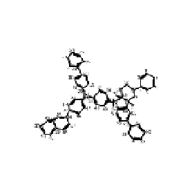 CC12CC(c3ccccc3)CCC1(C)N(c1ccc(N(c3ccc(-c4ccccc4)cc3)c3ccc(-c4ccc5ccccc5c4)cc3)cc1)c1ccc(-c3ccccc3)cc12